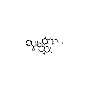 C[C@H]1C[C@H]2CSC(NC(=O)c3ccccc3)=N[C@@]2(c2cc(CNCC(F)(F)F)c(F)cc2F)CO1